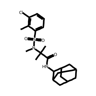 Cc1c(Cl)cccc1S(=O)(=O)N(C)C(C)(C)C(=O)NC1C2CC3CC(C2)CC1C3